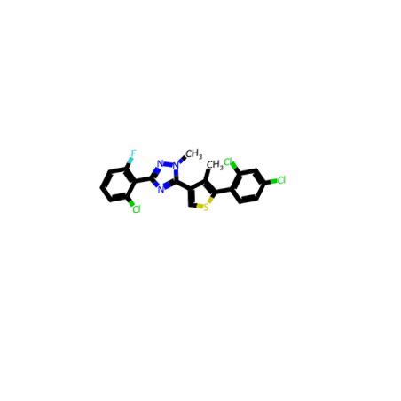 Cc1c(-c2nc(-c3c(F)cccc3Cl)nn2C)csc1-c1ccc(Cl)cc1Cl